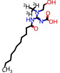 [2H]C([2H])([2H])N(CCO)C(=NC(=O)O)NC(=O)CCCCCCCCCC